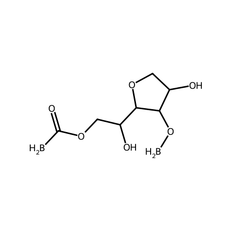 BOC1C(O)COC1C(O)COC(B)=O